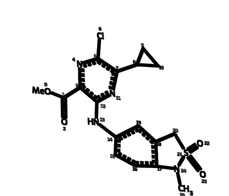 COC(=O)c1nc(Cl)c(C2CC2)nc1Nc1ccc2c(c1)CS(=O)(=O)N2C